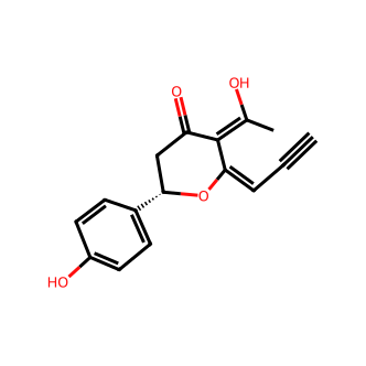 C#C/C=C1/O[C@H](c2ccc(O)cc2)CC(=O)/C1=C(/C)O